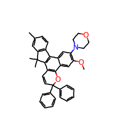 COc1cc2c3c(c4c(c2cc1N1CCOCC1)-c1ccc(C)cc1C4(C)C)C=CC(c1ccccc1)(c1ccccc1)O3